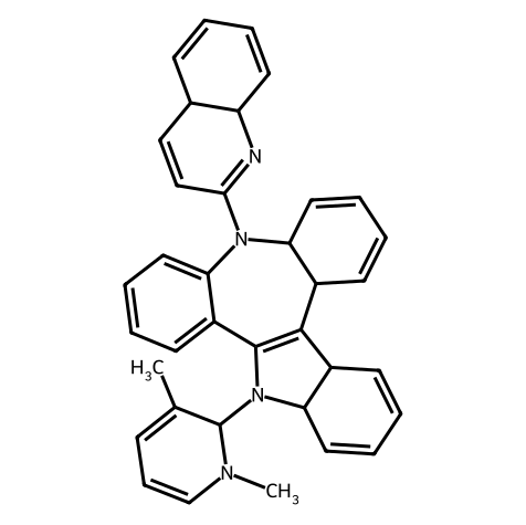 CC1=CC=CN(C)C1N1C2=C(C3C=CC=CC3N(C3=NC4C=CC=CC4C=C3)c3ccccc32)C2C=CC=CC21